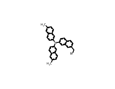 Cc1ccc2cc(N(c3ccc4cc(C)ccc4c3)c3ccc4ccc(CBr)cc4c3)ccc2c1